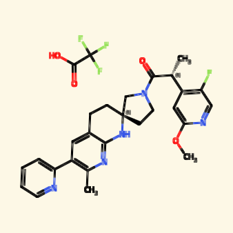 COc1cc([C@@H](C)C(=O)N2CC[C@@]3(CCc4cc(-c5ccccn5)c(C)nc4N3)C2)c(F)cn1.O=C(O)C(F)(F)F